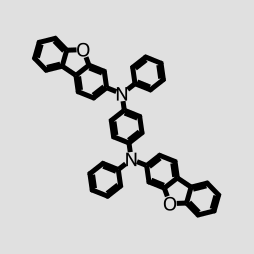 c1ccc(N(c2ccc(N(c3ccccc3)c3ccc4c(c3)oc3ccccc34)cc2)c2ccc3c(c2)oc2ccccc23)cc1